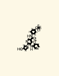 COc1ccncc1Nc1cc(C(=O)Nc2ccc(OC(F)(F)Cl)cc2)cnc1N1CC[C@@H](O)C1